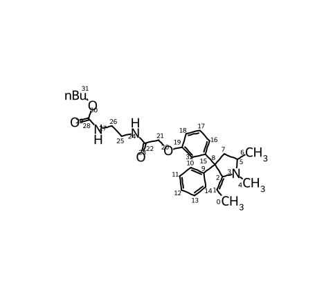 CC=C1N(C)C(C)CC1(c1ccccc1)c1cccc(OCC(=O)NCCNC(=O)OCCCC)c1